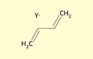 C=CC=C.[Y]